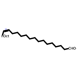 CCCCCCCC/C=C\CCCCCCCCCCCCC[C]=O